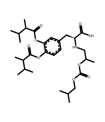 CC(C)COC(=O)OC(C)CN[C@@H](Cc1ccc(OC(=O)C(C)C(C)C)c(OC(=O)C(C)C(C)C)c1)C(=O)O